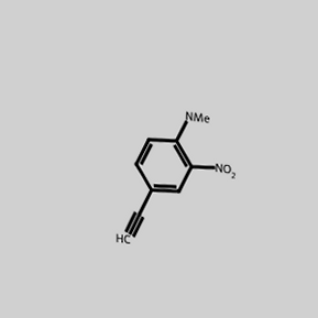 C#Cc1ccc(NC)c([N+](=O)[O-])c1